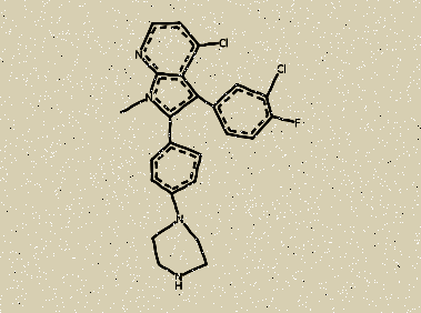 Cn1c(-c2ccc(N3CCNCC3)cc2)c(-c2ccc(F)c(Cl)c2)c2c(Cl)ccnc21